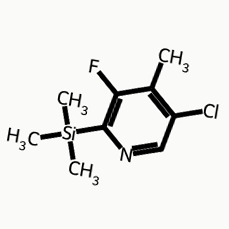 Cc1c(Cl)cnc([Si](C)(C)C)c1F